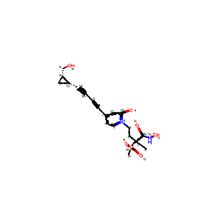 CC(CCn1ccc(C#CC#C[C@@H]2C[C@@H]2CO)cc1=O)(C(=O)NO)S(C)(=O)=O